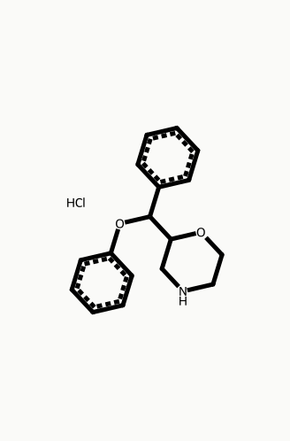 Cl.c1ccc(OC(c2ccccc2)C2CNCCO2)cc1